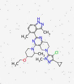 CCOC1CCN(c2nc(-c3c(C)ccc4[nH]nc(C)c34)nc3c2CN(c2c(Cl)c(C4CC4)nn2C)CC3)C(C)C1